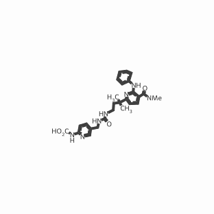 CNC(=O)c1ccc(C(C)(C)CCNC(=O)NCc2ccc(NC(=O)O)nc2)nc1Nc1ccccc1